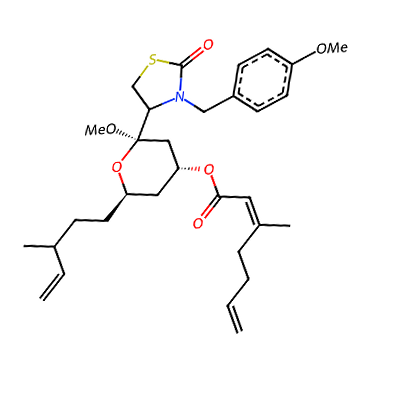 C=CCCC(C)=CC(=O)O[C@@H]1C[C@@H](CCC(C)C=C)O[C@@](OC)(C2CSC(=O)N2Cc2ccc(OC)cc2)C1